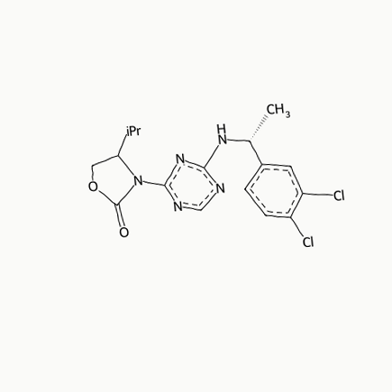 CC(C)C1COC(=O)N1c1ncnc(N[C@H](C)c2ccc(Cl)c(Cl)c2)n1